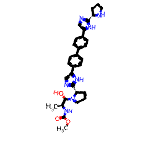 COC(=O)N[C@@H](C)C(O)N1CCC[C@H]1c1ncc(-c2ccc(-c3ccc(-c4cnc([C@@H]5CCCN5)[nH]4)cc3)cc2)[nH]1